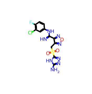 N=C(Nc1ccc(F)c(Cl)c1)c1nonc1CS(=O)(=O)c1nnc(N)[nH]1